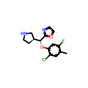 Cc1cc(Cl)c(O[C@@H](c2ncco2)[C@H]2CCNC2)cc1F